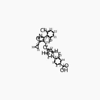 O=C(O)c1ccc(N2C[C@@H]3C[C@H]2C[C@H]3OCc2c(-c3c(F)cccc3Cl)noc2C2CC2)c(F)c1